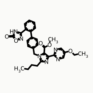 CCCCc1nc(-c2ncc(OCC)cn2)c(C(=O)OC)n1Cc1ccc(-c2ccccc2-c2noc(=O)[nH]2)cc1